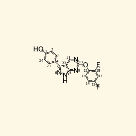 Oc1ccc(-c2n[nH]c3nc(Oc4ccc(F)cc4F)ncc23)cc1